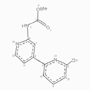 COC(=O)Nc1cc(-c2ccnc(Cl)n2)ccn1